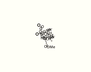 CCCCO[C@H](CO[C@@H](OC(C)[C@H](C)N=[N+]=[N-])[C@@H](COC(=O)c1ccccc1)OC(=O)c1ccccc1)[C@@H](OCCCCCC(=O)OC)OC(C)[C@H](C)N=[N+]=[N-]